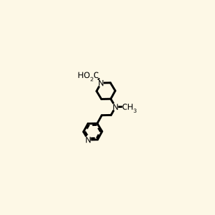 CN(CCc1ccncc1)C1CCN(C(=O)O)CC1